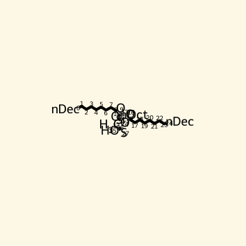 CCCCCCCCCCCCCCCCCC(=O)O[Si](C)(CCCCCCCC)OC(=O)CCCCCCCCCCCCCCCCC.OC=S